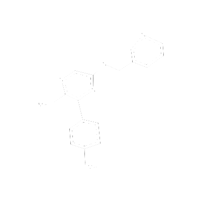 COc1ncc(NCc2cccnc2)nc1-c1ccc(SC)cc1